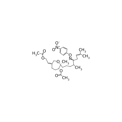 CC(=O)OCC=C1CC[C@@H](OC(C)=O)[C@](C)(CCCC(C)C(CC=C(C)C)=NOc2ccc([N+](=O)[O-])cc2)OC1